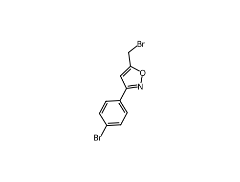 BrCc1cc(-c2ccc(Br)cc2)no1